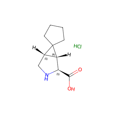 Cl.O=C(O)[C@H]1NC[C@H]2[C@@H]1C21CCCC1